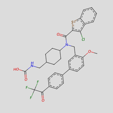 COc1ccc(-c2ccc(C(=O)C(F)(F)F)cc2)cc1CN(C(=O)c1sc2ccccc2c1Cl)C1CCC(CNC(=O)O)CC1